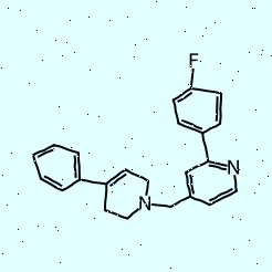 Fc1ccc(-c2cc(CN3CC=C(c4ccccc4)CC3)ccn2)cc1